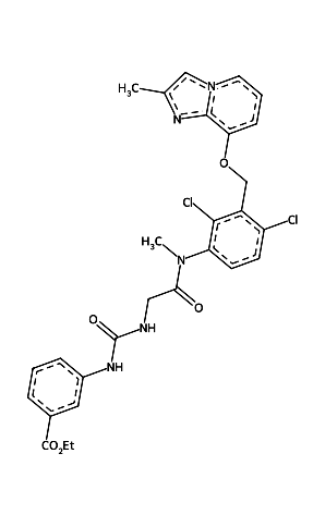 CCOC(=O)c1cccc(NC(=O)NCC(=O)N(C)c2ccc(Cl)c(COc3cccn4cc(C)nc34)c2Cl)c1